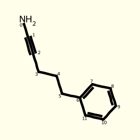 NC#CCCCc1ccccc1